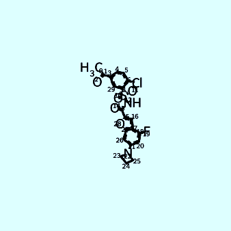 CC(=O)c1ccc(Cl)c(S(=O)(=O)NC(=O)c2cc3c(F)cc(N4CCC4)cc3o2)c1